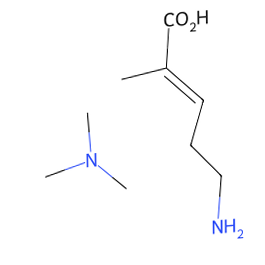 CC(=CCCN)C(=O)O.CN(C)C